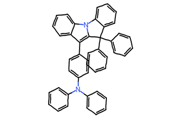 c1ccc(N(c2ccccc2)c2ccc(-c3c4n(c5ccccc35)-c3ccccc3C4(c3ccccc3)c3ccccc3)cc2)cc1